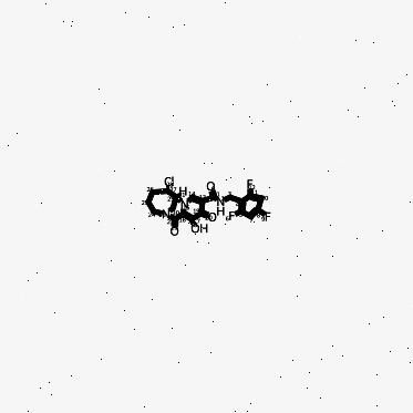 O=C(NCc1c(F)cc(F)cc1F)c1cn2c(c(O)c1=O)C(=O)N1CCC[C@@H](Cl)[C@H]2C1